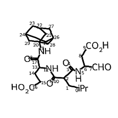 CC(C)CC(C(=O)NC(C=O)CC(=O)O)C(=O)NC(CCC(=O)O)C(=O)NC12CC3CC(CC(C3)C1)C2